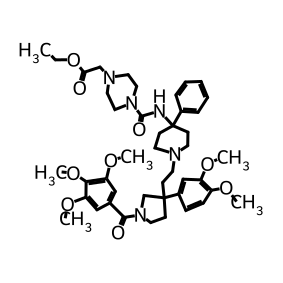 CCOC(=O)CN1CCN(C(=O)NC2(c3ccccc3)CCN(CCC3(c4ccc(OC)c(OC)c4)CCN(C(=O)c4cc(OC)c(OC)c(OC)c4)C3)CC2)CC1